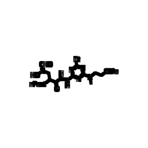 CCCCCC(CN(O)C=O)C(=O)NNc1nc(CC)nc(N(C)CCOC)n1